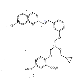 COc1ccc(OC[C@@H](COc2cccc(/C=C/c3ccc4ccc(Cl)cc4n3)c2)OCC2CC2)c(C(=O)O)c1